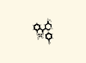 C=C1CO[C@H](c2ccc(Br)cc2)C(C2=NS(=O)(=O)Oc3ccccc32)C1